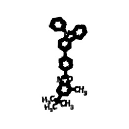 Cc1cc(C(C)(C)C)cc2nc(-c3ccc(-c4ccc5c(c4)c4ccccc4n5-c4ccccc4)cc3)oc12